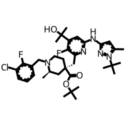 Cc1cc(Nc2cc(C(C)(C)O)c(F)c(C[C@@]3(C(=O)OC(C)(C)C)CCN(Cc4cccc(Cl)c4F)[C@H](C)C3)n2)nn1C(C)(C)C